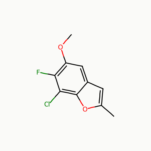 COc1cc2cc(C)oc2c(Cl)c1F